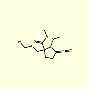 COC(=O)C1(COCO)CCC(=C=O)N1OC